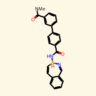 CNC(=O)c1cccc(-c2ccc(C(=O)N[SH]3C=Cc4ccccc4C=N3)cc2)c1